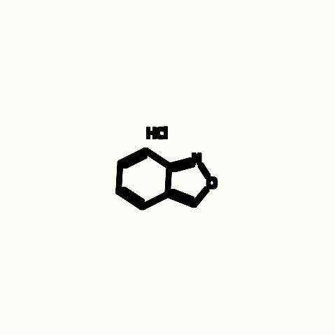 Cl.c1ccc2nocc2c1